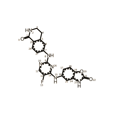 O=C1NCCc2cc(Nc3ncc(F)c(Nc4ccc5oc(=O)[nH]c5c4)n3)ccc21